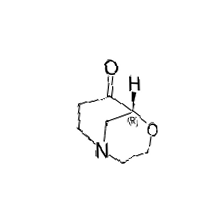 O=C1CCN2CCO[C@@H]1C2